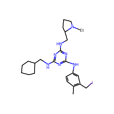 CCN1CCCC1CNc1nc(NCC2CCCCC2)nc(Nc2ccc(C)c(CI)c2)n1